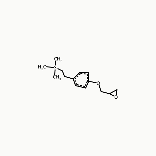 C[Si](C)(C)CCc1ccc(OCC2CO2)cc1